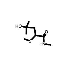 CNC(=O)C(CC(C)(C)O)SC